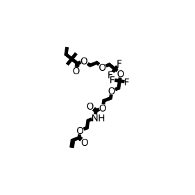 C=CC(=O)OCCNC(=O)OCCOCC(F)(F)OC(F)(F)COCCOC(=O)C(C)(C)CC